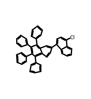 Clc1ccc(-c2ccc3c(-c4ccccc4)c(-c4ccccc4)c(-c4ccccc4)c(-c4ccccc4)c3c2)c2ccccc12